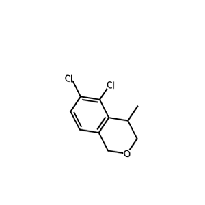 CC1COCc2ccc(Cl)c(Cl)c21